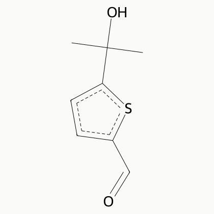 CC(C)(O)c1ccc(C=O)s1